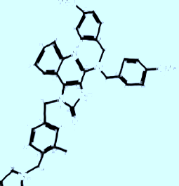 COc1ccc(CN(Cc2ccc(OC)cc2)c2nc3ccccc3c3c2[nH]c(=O)n3Cc2ccc(CN3CCCC3)c(C)c2)cc1